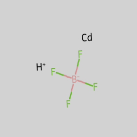 F[B-](F)(F)F.[Cd].[H+]